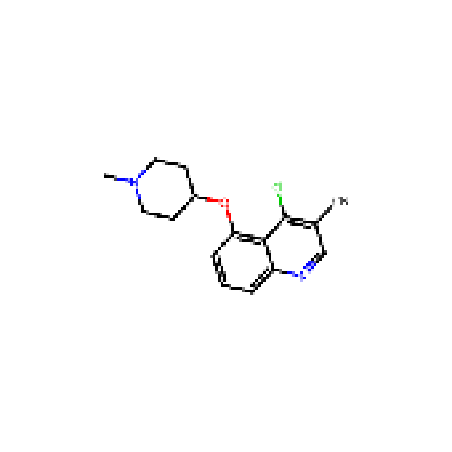 CN1CCC(Oc2cccc3ncc(C#N)c(Cl)c23)CC1